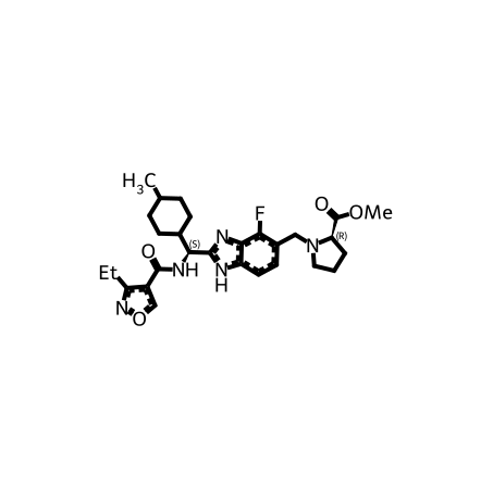 CCc1nocc1C(=O)N[C@H](c1nc2c(F)c(CN3CCC[C@@H]3C(=O)OC)ccc2[nH]1)C1CCC(C)CC1